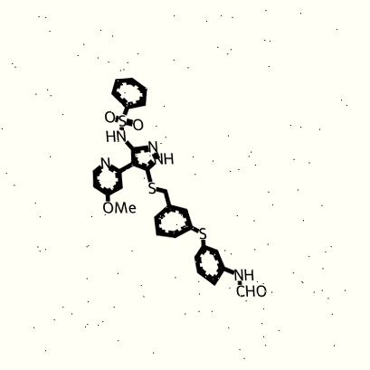 COc1ccnc(-c2c(NS(=O)(=O)c3ccccc3)n[nH]c2SCc2cccc(Sc3cccc(NC=O)c3)c2)c1